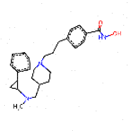 CN(CC1CCN(CCCc2ccc(C(=O)NO)cc2)CC1)C1CC1c1ccccc1